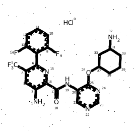 Cl.Nc1cc(C(F)(F)F)c(-c2c(F)cccc2F)nc1C(=O)Nc1cncnc1OC1CCCC(N)C1